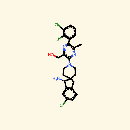 Cc1nc(N2CCC3(CC2)Cc2ccc(Cl)cc2[C@H]3N)c(CO)nc1-c1cccc(Cl)c1Cl